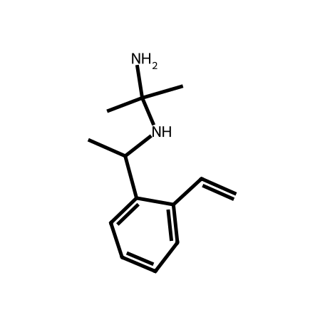 C=Cc1ccccc1C(C)NC(C)(C)N